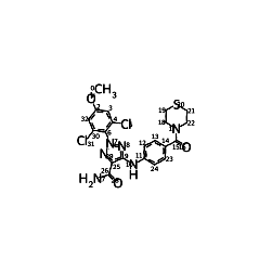 COc1cc(Cl)c(-n2nc(Nc3ccc(C(=O)N4CCSCC4)cc3)c(C(N)=O)n2)c(Cl)c1